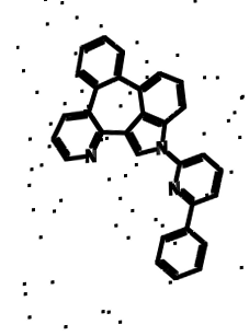 c1ccc(-c2cccc(-n3cc4c5c(cccc53)-c3ccccc3-c3cccnc3-4)n2)cc1